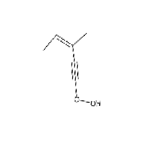 CC=C(C)C#COO